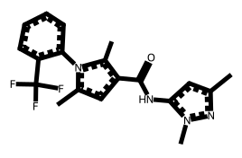 Cc1cc(NC(=O)c2cc(C)n(-c3ccccc3C(F)(F)F)c2C)n(C)n1